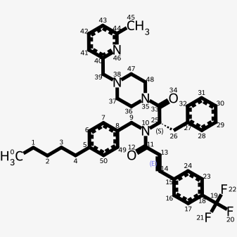 CCCCCc1ccc(CN(C(=O)/C=C/c2ccc(C(F)(F)F)cc2)[C@@H](Cc2ccccc2)C(=O)N2CCN(Cc3cccc(C)n3)CC2)cc1